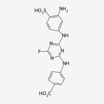 Nc1cc(Nc2nc(F)nc(Nc3ccc(C(=O)O)cc3)n2)ccc1S(=O)(=O)O